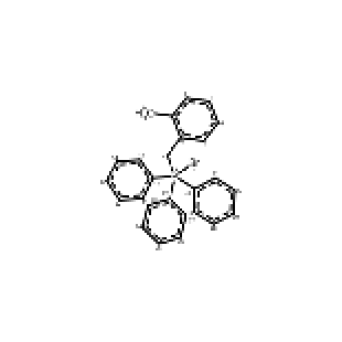 Cc1ccccc1CP(Br)(c1ccccc1)(c1ccccc1)c1ccccc1